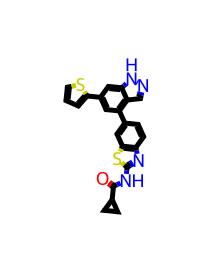 O=C(Nc1nc2ccc(-c3cc(-c4cccs4)cc4[nH]ncc34)cc2s1)C1CC1